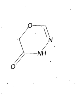 O=C1[CH]OC=NN1